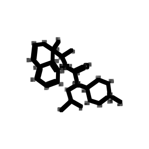 CC(C)CN(C(=O)NC(C)C1(C)CC=Cc2ccccc21)C1CCN(C)CC1